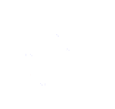 Cc1nc(-c2cccs2)nc2sc(C(N)=O)c(N)c12